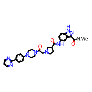 CNC(=O)c1n[nH]c2ccc(NC(=O)C3CCN(CC(=O)N4CCN(c5ccc(-c6ncccn6)cc5)CC4)C3)cc12